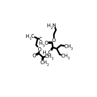 C=C(C(=O)OCCN)C(CC)CC.C=C(C)C(=O)OCC(C)C